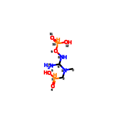 CN(C[PH](=O)O)C(N)NO[PH](=O)O